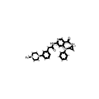 CC(=O)N1CCN(c2cccc(CC(=O)Nc3cc(N(c4ccccc4)C4CC4)c(C(N)=O)cn3)c2)CC1